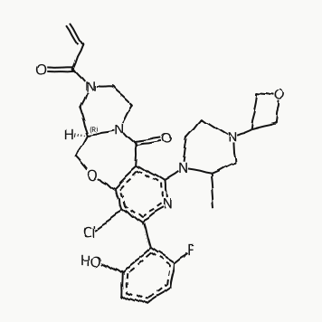 C=CC(=O)N1CCN2C(=O)c3c(N4CCN(C5COC5)CC4C)nc(-c4c(O)cccc4F)c(Cl)c3OC[C@H]2C1